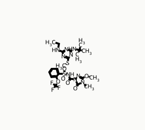 CCNc1nc(NC(C)(C)C)nc(SC)n1.COc1nn(C(=O)NS(=O)(=O)c2ccccc2OC(F)(F)F)c(=O)n1C